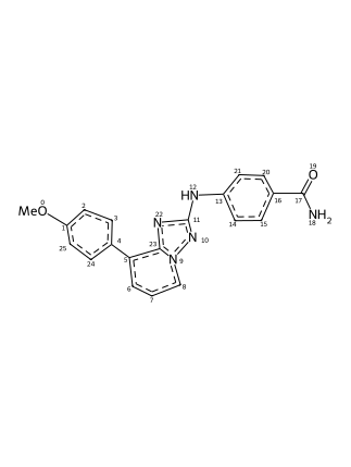 COc1ccc(-c2cccn3nc(Nc4ccc(C(N)=O)cc4)nc23)cc1